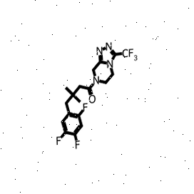 CC(C)(CC(=O)N1CCn2c(nnc2C(F)(F)F)C1)Cc1cc(F)c(F)cc1F